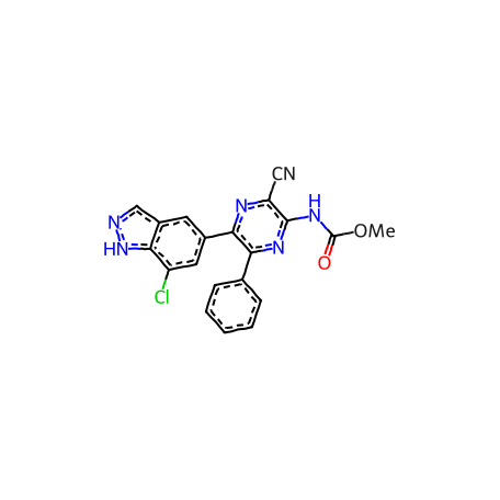 COC(=O)Nc1nc(-c2ccccc2)c(-c2cc(Cl)c3[nH]ncc3c2)nc1C#N